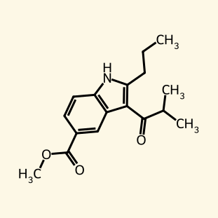 CCCc1[nH]c2ccc(C(=O)OC)cc2c1C(=O)C(C)C